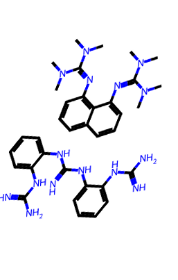 CN(C)C(=Nc1cccc2cccc(N=C(N(C)C)N(C)C)c12)N(C)C.N=C(N)Nc1ccccc1NC(=N)Nc1ccccc1NC(=N)N